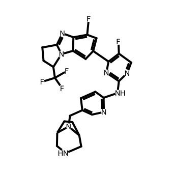 Fc1cnc(Nc2ccc(CN3C4CCC3CNC4)cn2)nc1-c1cc(F)c2nc3n(c2c1)C(C(F)(F)F)CC3